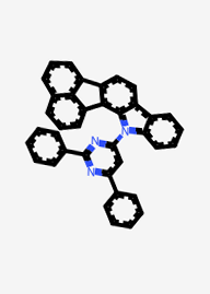 c1ccc(-c2cc(-n3c4ccccc4c4ccc5c(c43)-c3cccc4cccc-5c34)nc(-c3ccccc3)n2)cc1